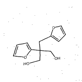 OCC(CO)(Cc1ccco1)c1ccco1